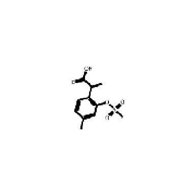 Cc1ccc(C(C)C(=O)O)c(OS(C)(=O)=O)c1